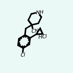 Cl.N#CC1(Cc2ccc(Cl)cc2C2CC2)CCNCC1